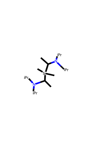 CC(C)N(C(C)C)C(C)[Si](C)(C)C(C)N(C(C)C)C(C)C